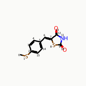 CSc1ccc(/C=C2\SC(=O)NC2=O)cc1